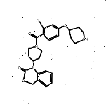 O=C(c1ccc(OC2CCNCC2)cc1Cl)N1CCC(N2C(=O)OCc3ccccc32)CC1